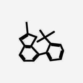 CC1=Cc2cccc(-c3ccccc3C(C)(C)C)c2C1